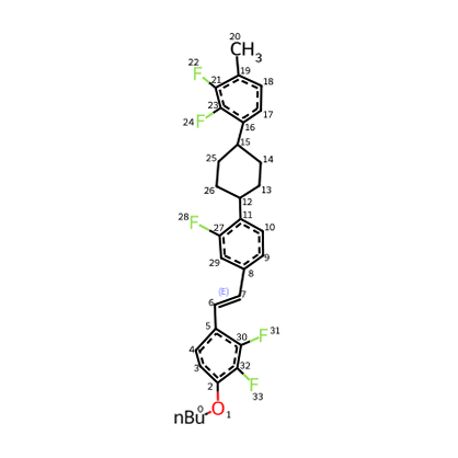 CCCCOc1ccc(/C=C/c2ccc(C3CCC(c4ccc(C)c(F)c4F)CC3)c(F)c2)c(F)c1F